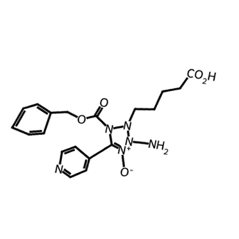 NN1N(CCCCC(=O)O)N(C(=O)OCc2ccccc2)C(c2ccncc2)=[N+]1[O-]